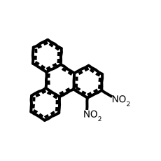 O=[N+]([O-])c1ccc2c3ccccc3c3ccccc3c2c1[N+](=O)[O-]